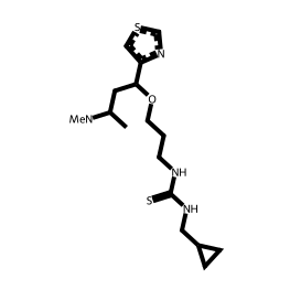 CNC(C)CC(OCCCNC(=S)NCC1CC1)c1cscn1